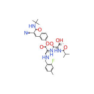 Cc1ccc(CNC[C@H](NC(=O)[C@@H](NC(=O)C(C)C)[C@@H](C)O)C(=O)Oc2cccc(C=C(C#N)C(=O)NC(C)(C)C)c2)c(F)c1